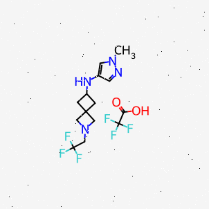 Cn1cc(NC2CC3(C2)CN(CC(F)(F)F)C3)cn1.O=C(O)C(F)(F)F